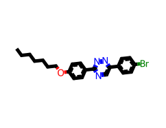 CCCCCCCOc1ccc(-c2ncc(-c3ccc(Br)cc3)nn2)cc1